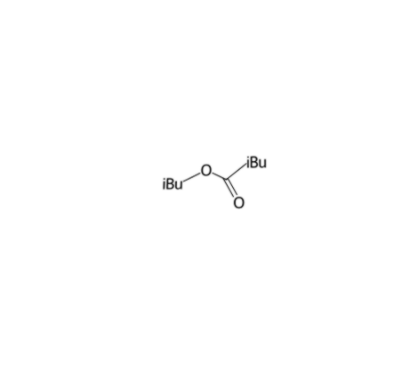 C[CH]C(C)OC(=O)C(C)CC